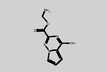 NCOC(=O)c1nc(O)c2cccn2n1